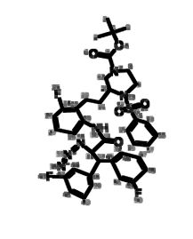 CC(C)(C)OC(=O)N1CCN(S(=O)(=O)c2ccccc2)C(CCc2c(F)cccc2NC(=O)C(N=[N+]=[N-])C(c2cccc(F)c2)c2cccc(F)c2)C1